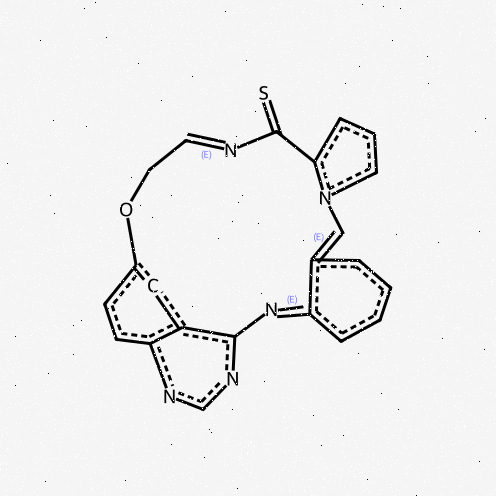 S=C1/N=C/COc2ccc3ncnc(c3c2)/N=c2\cccc\c2=C/n2cccc21